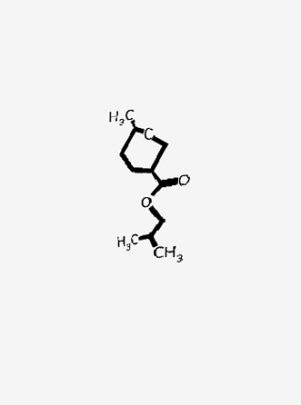 CC(C)COC(=O)[C@H]1CC[C@@H](C)CC1